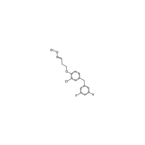 CCON=CCCOc1ccc(Cc2cc(F)cc(F)c2)cc1Cl